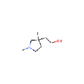 CN1CCC(C)(CCO)C1